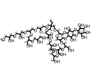 CCC(COCC(=O)COCC(COCC(O)COCC(O)CO)OCC(CO)OCC(O)CO)(COCC(O)COCC(O)COCC(O)CO)COCC(COCC(O)COCC(O)CO)OCC(COCC(O)COCC(O)CO)OCC(CO)OCC(O)CO